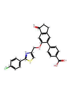 O=C(O)c1ccc(-c2cc3c(cc2OCc2csc(-c4ccc(Cl)cc4)n2)C(=O)CC3)cc1